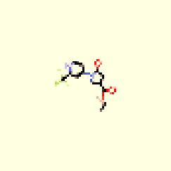 CCOC(=O)C1CC(=O)N(c2ccnc(C(F)(F)F)c2)C1